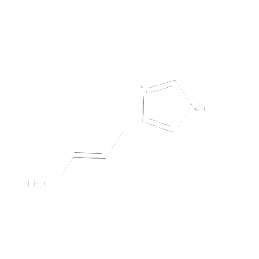 CC=CC(=O)O.c1c[nH]cn1